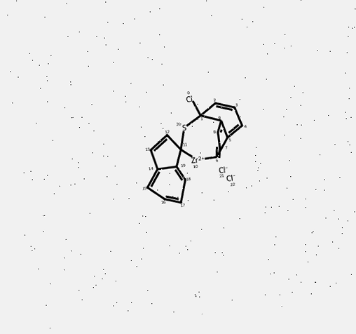 ClC12C=CC=C3[C](=CC=C31)[Zr+2][C]1(C=Cc3ccccc31)S2.[Cl-].[Cl-]